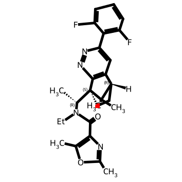 CCN(C(=O)c1nc(C)oc1C)[C@H](C)[C@@]12CC[C@@H](c3cc(-c4c(F)cccc4F)nnc31)C2(C)C